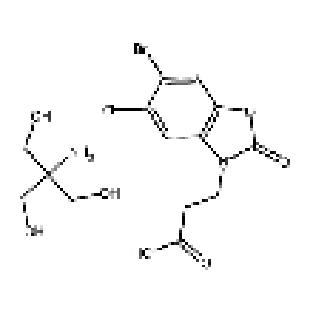 NC(CO)(CO)CO.O=C(O)CCn1c(=O)oc2cc(Br)c(Cl)cc21